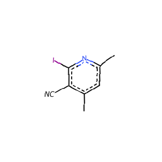 Cc1cc(C)c(C#N)c(I)n1